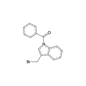 O=C(c1ccccc1)n1cc(CBr)c2ccccc21